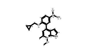 CO[n+]1c(C)cc(-c2cc([S+](N)[O-])ccc2OCC2CC2)c2cc[nH]c21